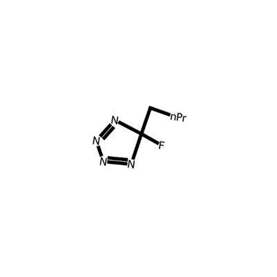 CCCCC1(F)N=NN=N1